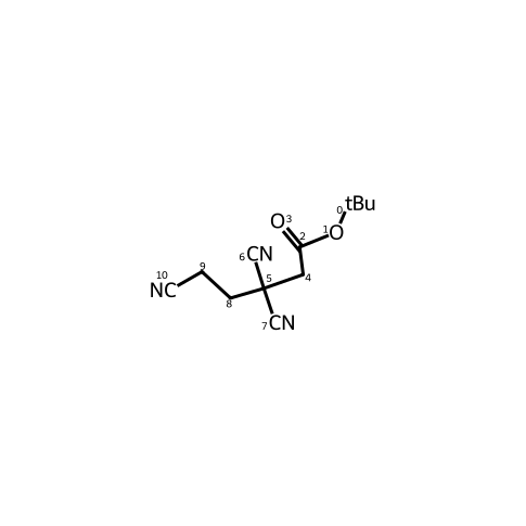 CC(C)(C)OC(=O)CC(C#N)(C#N)CCC#N